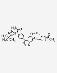 COc1cc2c(-c3ccc(C(C(N)=O)n4cc(C(C)(C)C)nn4)cc3)ncnc2cc1OCC1CCN(C(C)=O)CC1